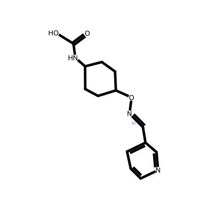 O=C(O)NC1CCC(O/N=C/c2cccnc2)CC1